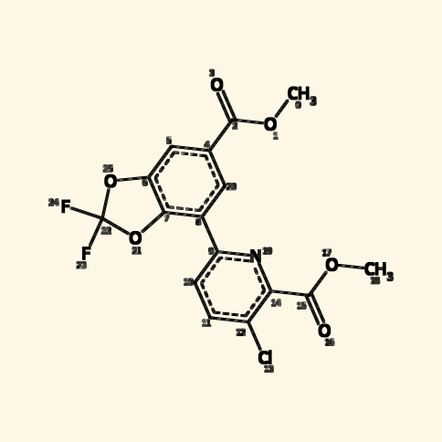 COC(=O)c1cc2c(c(-c3ccc(Cl)c(C(=O)OC)n3)c1)OC(F)(F)O2